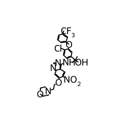 CC(C)(O)c1cc(Oc2cccc(C(F)(F)F)c2)c(Cl)cc1Nc1ncnc2cc(OCCN3CCOCC3)c([N+](=O)[O-])cc12